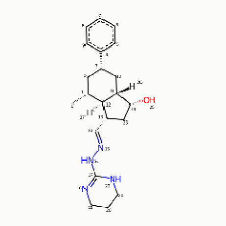 C[C@@H]1C[C@H](c2ccccc2)C[C@H]2[C@H]1[C@@H](/C=N/NC1=NCCCN1)C[C@H]2O